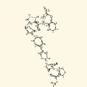 NCC(=O)N1CCC[C@H]1c1ncc(-c2ccc(-c3ccc(-c4cnc([C@@H]5CCCN5C(=O)[C@H](NC(=O)O)c5ccccc5)[nH]4)cc3)cc2)[nH]1